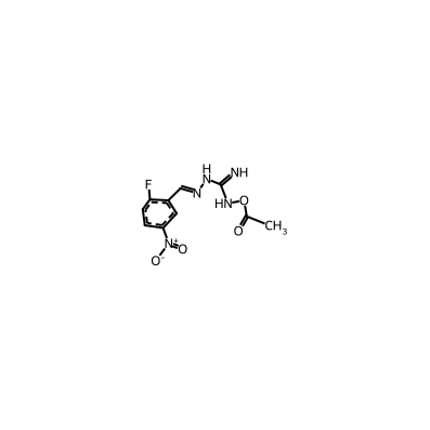 CC(=O)ONC(=N)NN=Cc1cc([N+](=O)[O-])ccc1F